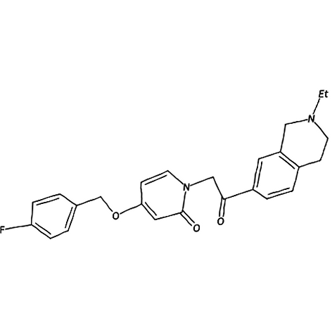 CCN1CCc2ccc(C(=O)Cn3ccc(OCc4ccc(F)cc4)cc3=O)cc2C1